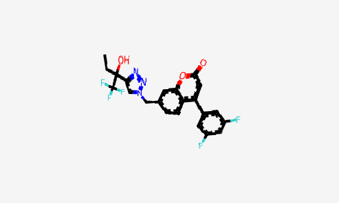 CCC(O)(c1cn(Cc2ccc3c(-c4cc(F)cc(F)c4)cc(=O)oc3c2)nn1)C(F)(F)F